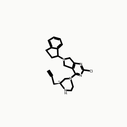 C#CC[C@H]1CN(c2nc(Cl)nc3c2CN(C2CCc4ccccc42)C3)CCN1